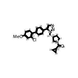 COc1ccc(-c2ccc(-c3cnnn3C[C@@H]3CCN(C(=O)C4CC4)C3)cc2)c(Cl)c1